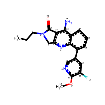 CCCN1Cc2nc3c(-c4cnc(OC)c(F)c4)cccc3c(N)c2C1=O